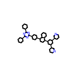 c1ccc(-c2nc(-c3ccccc3)nc(-c3ccc(-c4ccc(-c5cc(-c6cccnc6)cc(-c6cccnc6)c5)c5ccccc45)cc3)n2)cc1